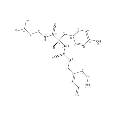 C=C/C=C(\C=C/N)COC(=O)N[C@@](C)(Cc1ccc(O)cc1)C(=O)NCCC(C)C